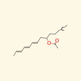 CC=CC=CC=CCC(CCCCC)OC(C)=O